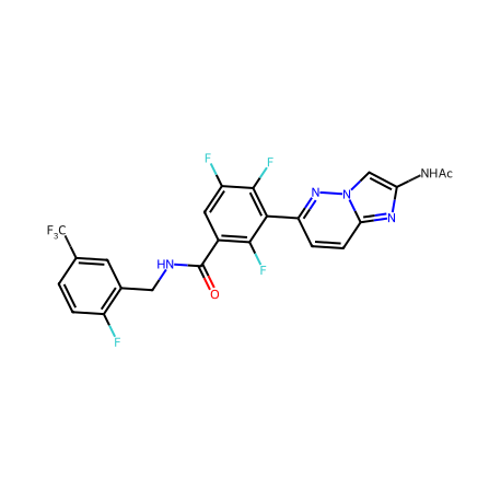 CC(=O)Nc1cn2nc(-c3c(F)c(F)cc(C(=O)NCc4cc(C(F)(F)F)ccc4F)c3F)ccc2n1